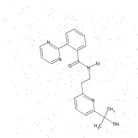 CCN(CCc1cccc(C(C)(C)O)n1)C(=O)c1ccccc1-c1ncccn1